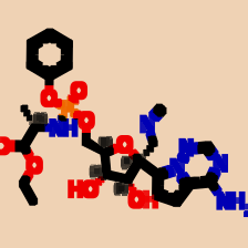 C=NC[C@@]1(c2ccc3c(N)ncnn23)O[C@H](COP(=O)(N[C@@H](C)C(=O)OCC)Oc2ccccc2)[C@@H](O)[C@H]1O